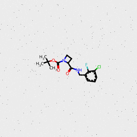 CC(C)(C)OC(=O)N1CCC1C(=O)NCc1cccc(Cl)c1F